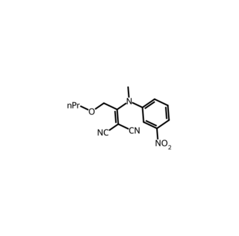 CCCOCC(=C(C#N)C#N)N(C)c1cccc([N+](=O)[O-])c1